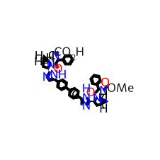 COC(=O)N[C@@H](C(=O)N1[C@@H]2C[C@@H]2C[C@H]1c1ncc(C23CCC(c4ccc(-c5cnc([C@@H]6C[C@H]7C[C@H]7N6C(=O)[C@@H](c6ccccc6)N(C)C(=O)O)[nH]5)cc4)(CC2)CC3)[nH]1)c1ccccc1